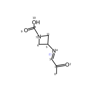 CC(=O)/C=N/C1CN(C(=O)O)C1